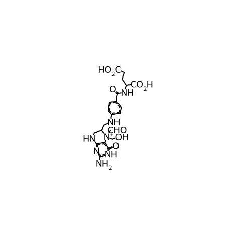 Nc1nc2c(c(=O)[nH]1)[N+](C=O)(CO)C(CNc1ccc(C(=O)NC(CCC(=O)O)C(=O)O)cc1)CN2